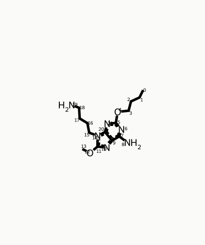 CCCCOc1nc(N)c2nc(OC)n(CCCCN)c2n1